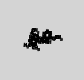 CC[C@H]1C[C@@H](c2c[nH]c3c(OC)ncnc23)[C@@H]2OC(C)(C)O[C@H]12